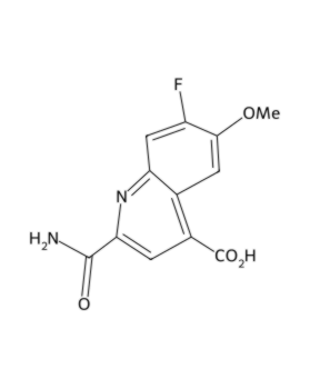 COc1cc2c(C(=O)O)cc(C(N)=O)nc2cc1F